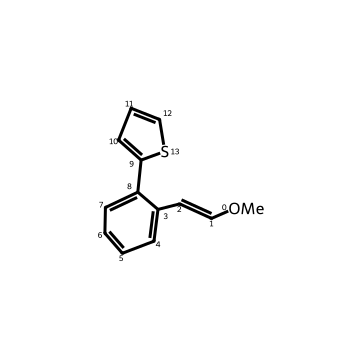 COC=Cc1ccccc1-c1cccs1